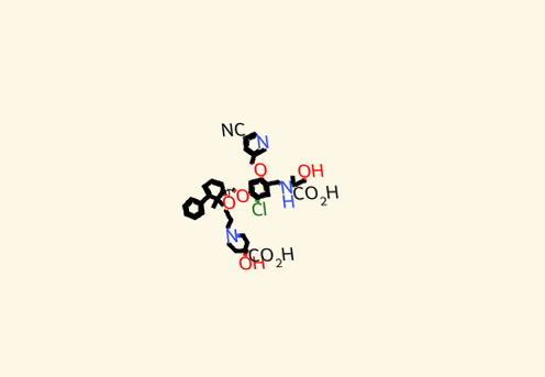 CC(CO)(NCc1cc(Cl)c(OC[C@@]2(OCCCN3CCC(O)(C(=O)O)CC3)C=CC=C(c3ccccc3)C2(C)C)cc1OCc1cncc(C#N)c1)C(=O)O